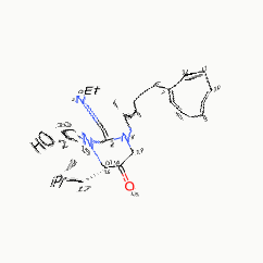 CCN=C1N(CCCc2ccccc2)CC(=O)[C@H](CC(C)C)N1C(=O)O